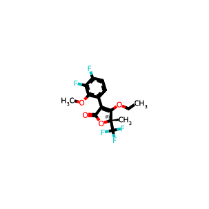 CCOC1=C(c2ccc(F)c(F)c2OC)C(=O)O[C@@]1(C)C(F)(F)F